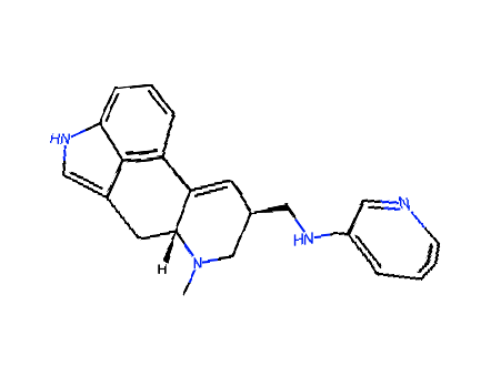 CN1C[C@H](CNc2cccnc2)C=C2c3cccc4[nH]cc(c34)C[C@H]21